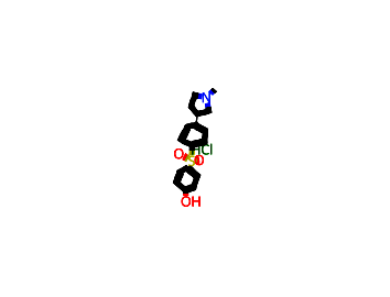 CN1CC[C@@H](c2ccc(S(=O)(=O)c3ccc(O)cc3)cc2)C1.Cl